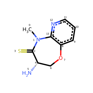 CN1C(=S)[C@@H](N)COc2cccnc21